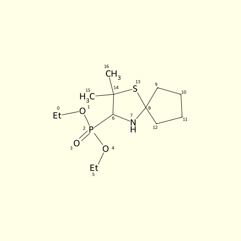 CCOP(=O)(OCC)C1NC2(CCCC2)SC1(C)C